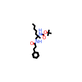 CCCCCC(C)(CNC(=O)CCc1ccccc1)NC(=O)OC(C)(C)C